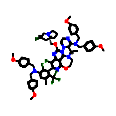 COc1ccc(CN(Cc2ccc(OC)cc2)c2cc(C)c(C(F)(F)F)c(-c3nc4c5c(nc(OC[C@@]67CCCN6C[C@H](F)C7)nc5c3F)N([C@H](C)c3nccnc3N(Cc3ccc(OC)cc3)Cc3ccc(OC)cc3)CCO4)c2F)cc1